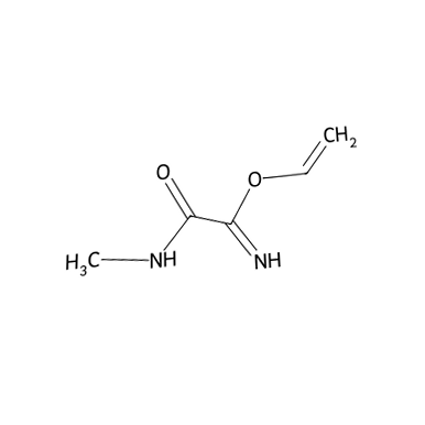 C=COC(=N)C(=O)NC